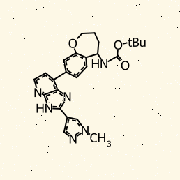 Cn1cc(-c2nc3c(-c4ccc5c(c4)OCCCC5NC(=O)OC(C)(C)C)ccnc3[nH]2)cn1